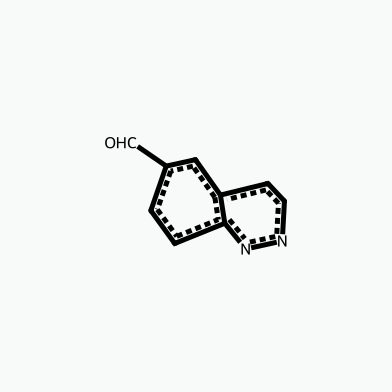 O=Cc1ccc2nnccc2c1